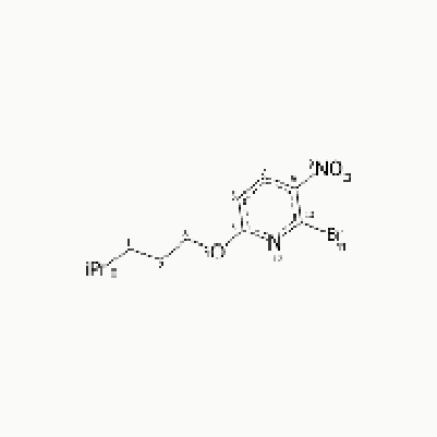 CC(C)CCCOc1ccc([N+](=O)[O-])c(Br)n1